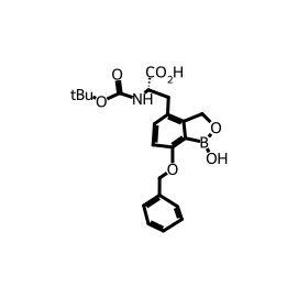 CC(C)(C)OC(=O)N[C@@H](Cc1ccc(OCc2ccccc2)c2c1COB2O)C(=O)O